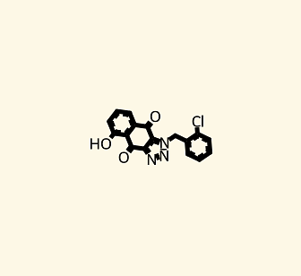 O=C1c2nnn(Cc3ccccc3Cl)c2C(=O)c2cccc(O)c21